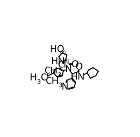 CC(C)(C)c1ccc(N(C(=O)[C@H]2C[C@@H](O)CN2)C(C(=O)NC2CCCCC2)c2cccnc2)c(Cl)c1